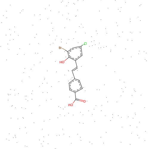 O=C(O)c1ccc(C=Cc2cc(Cl)cc(Br)c2O)cc1